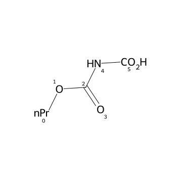 CCCOC(=O)NC(=O)O